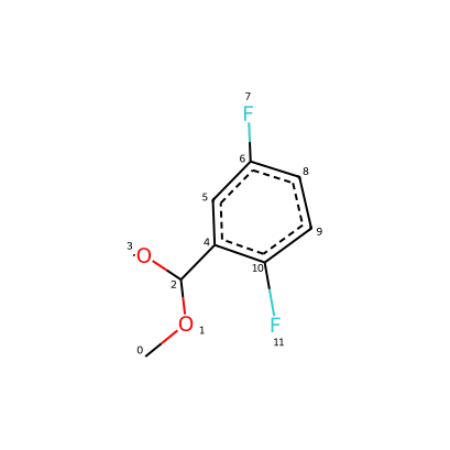 COC([O])c1cc(F)ccc1F